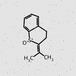 CC(C)=C1CCc2ccccc2[S+]1[O-]